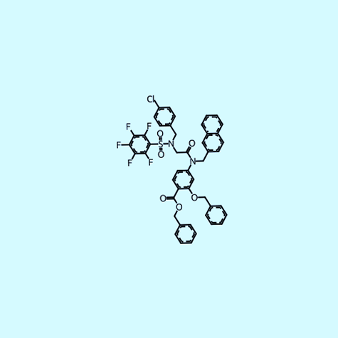 O=C(OCc1ccccc1)c1ccc(N(Cc2ccc3ccccc3c2)C(=O)CN(Cc2ccc(Cl)cc2)S(=O)(=O)c2c(F)c(F)c(F)c(F)c2F)cc1OCc1ccccc1